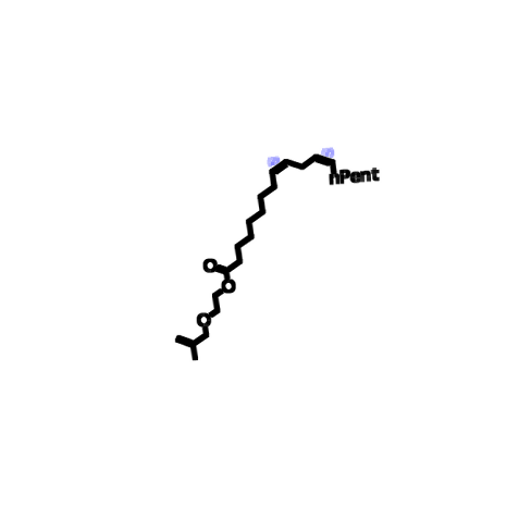 C=C(C)COCCOC(=O)CCCCCCC/C=C\C/C=C\CCCCC